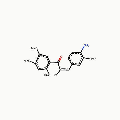 COc1cc(C=C(C(=O)c2cc(OC)c(OC)cc2OC)C(C)C)ccc1N